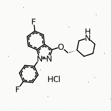 Cl.Fc1ccc(-n2nc(OC[C@H]3CCCNC3)c3cc(F)ccc32)cc1